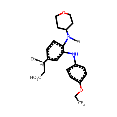 CC[C@H](CC(=O)O)c1ccc(N(CC)C2CCOCC2)c(Nc2ccc(OCC(F)(F)F)cc2)c1